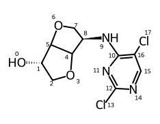 O[C@H]1COC2C1OC[C@H]2Nc1nc(Cl)ncc1Cl